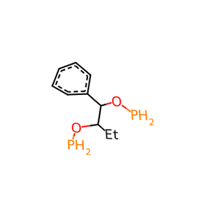 CCC(OP)C(OP)c1ccccc1